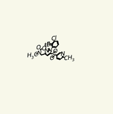 Cc1ccc(S(=O)(=O)c2cc(CN(C)C(=O)OC(C)(C)C)nn2-c2cccc(Cl)c2F)cn1